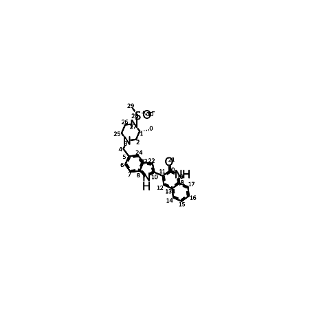 C[C@@H]1CN(Cc2ccc3[nH]c(-c4cc5ccccc5[nH]c4=O)cc3c2)CCN1[S+](C)[O-]